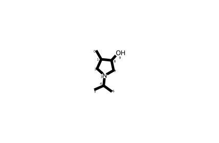 CC1CN(C(C)C)CC1O